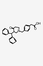 O=C(O)Cc1ccc(CN2CCC(=O)C(C(c3ccccc3)c3ccccc3)C2)cc1